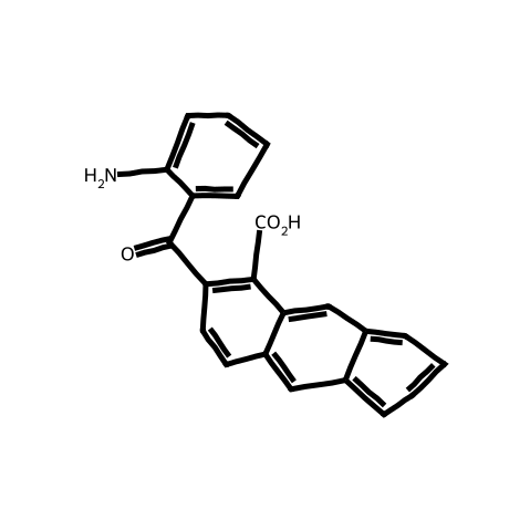 Nc1ccccc1C(=O)c1ccc2cc3ccccc3cc2c1C(=O)O